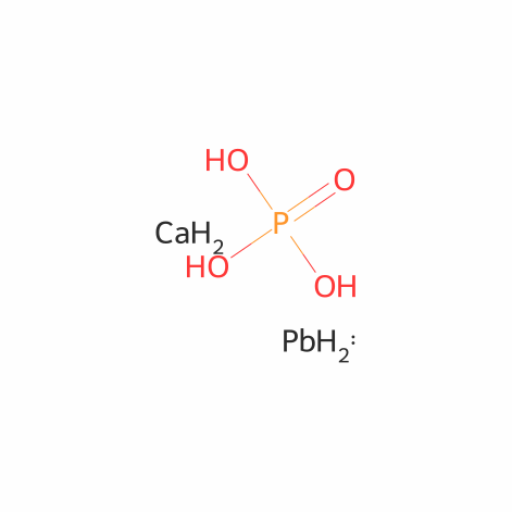 O=P(O)(O)O.[CaH2].[PbH2]